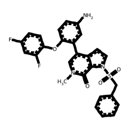 Cn1cc(-c2cc(N)ccc2Oc2ccc(F)cc2F)c2ccn(S(=O)(=O)Cc3ccccc3)c2c1=O